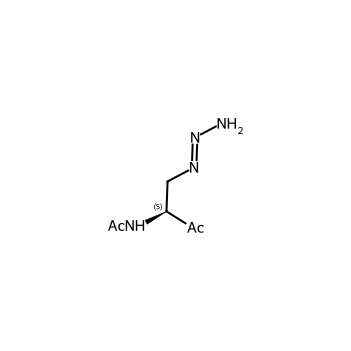 CC(=O)N[C@@H](CN=NN)C(C)=O